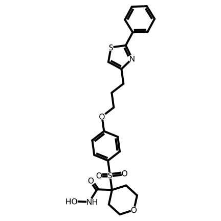 O=C(NO)C1(S(=O)(=O)c2ccc(OCCCc3csc(-c4ccccc4)n3)cc2)CCOCC1